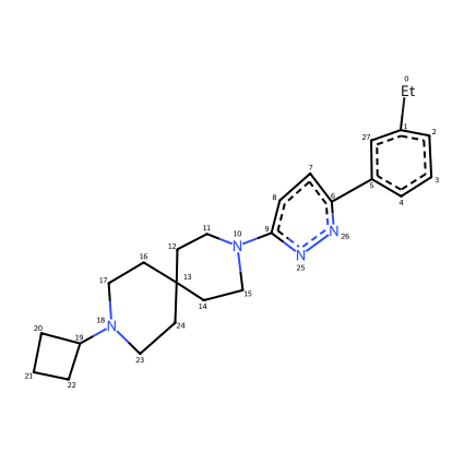 CCc1cccc(-c2ccc(N3CCC4(CC3)CCN(C3CCC3)CC4)nn2)c1